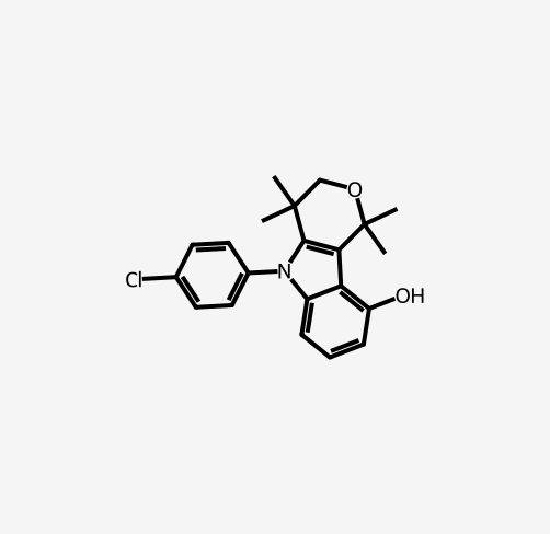 CC1(C)COC(C)(C)c2c1n(-c1ccc(Cl)cc1)c1cccc(O)c21